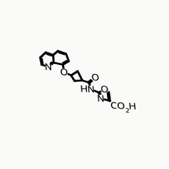 O=C(O)c1coc(NC(=O)C2CC(Oc3cccc4cccnc34)C2)n1